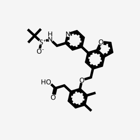 Cc1ccc(CC(=O)O)c(OCc2cc(-c3ccnc(CN[S+]([O-])C(C)(C)C)c3)c3occc3c2)c1C